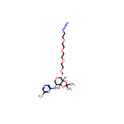 CC1(C)O[C@@H]2[C@H](O1)[C@@H](Nc1cncc(C(F)(F)F)n1)CO[C@@H]2COCCOCCOCCOCCN=[N+]=[N-]